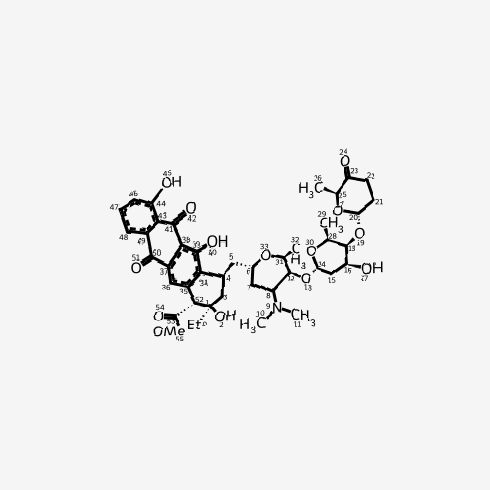 CC[C@@]1(O)C[C@H](C[C@H]2CC(N(C)C)[C@H](O[C@H]3C[C@H](O)[C@H](O[C@H]4CCC(=O)[C@H](C)O4)[C@H](C)O3)[C@H](C)O2)c2c(cc3c(c2O)C(=O)c2c(O)cccc2C3=O)[C@H]1C(=O)OC